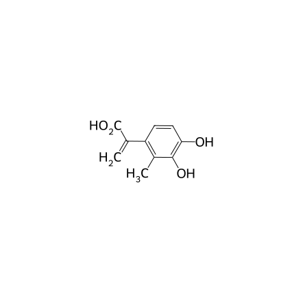 C=C(C(=O)O)c1ccc(O)c(O)c1C